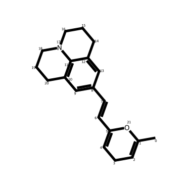 CC1=CCC=C(/C=C/c2cc3c4c(c2)CCCN4CCC3)O1